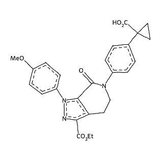 CCOC(=O)c1nn(-c2ccc(OC)cc2)c2c1CCN(c1ccc(C3(C(=O)O)CC3)cc1)C2=O